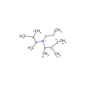 CCCN(C(C)C(C)C)C(C)C(C)CC